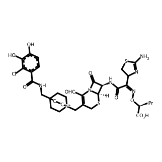 CC(C)[C@H](O/N=C(\C(=O)N[C@@H]1C(=O)N2C(C=O)=C(C[N+]34CCC(CNC(=O)c5ccc(O)c(O)c5Cl)(CC3)CC4)CS[C@H]12)C1CSC(N)=N1)C(=O)O